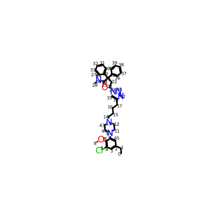 CCc1cc(Cl)c(OC)c(N2CCN(CCCCc3cn(CCC(C(=O)N(C)C)(c4ccccc4)c4ccccc4)nn3)CC2)c1